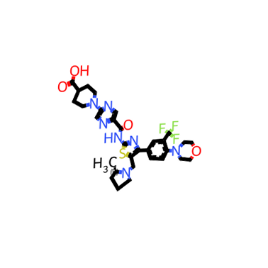 C[C@@H]1CCCN1Cc1sc(NC(=O)c2cnc(N3CCC(C(=O)O)CC3)cn2)nc1-c1ccc(N2CCOCC2)c(C(F)(F)F)c1